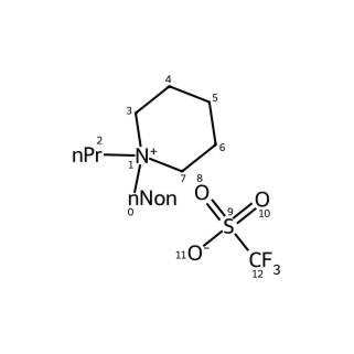 CCCCCCCCC[N+]1(CCC)CCCCC1.O=S(=O)([O-])C(F)(F)F